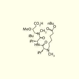 CCCCOC(=O)CCCCCN(C)[C@H](C(=O)N[C@H](C(=O)N(C)[C@@H]([C@@H](C)CC)[C@@H](CC(=O)O)OC)C(C)C)C(C)C